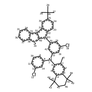 Cc1cc2c(cc1N(c1cccc(Cl)c1)c1cc(Cl)cc(-n3c4ccc(C(C)(C)C)cc4c4c5ccccc5sc43)c1)C(C)(C)CCC2(C)C